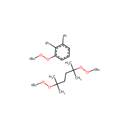 CC(C)(C)OOC(C)(C)CCC(C)(C)OOC(C)(C)C.CC(C)c1cccc(OOC(C)(C)C)c1C(C)C